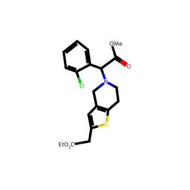 CCOC(=O)Cc1cc2c(s1)CCN(C(C(=O)OC)c1ccccc1Cl)C2